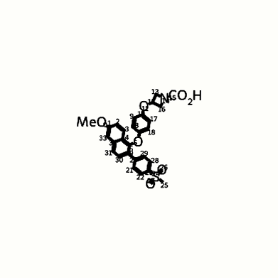 COc1ccc2c(Oc3ccc(OC4CN(C(=O)O)C4)cc3)c(-c3ccc(S(C)(=O)=O)cc3)ccc2c1